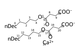 CCCCCCCCCCCCCCOC(=O)CCC(=O)[O-].CCCCCCCCCCCCCCOC(=O)CCC(=O)[O-].[Ca+2]